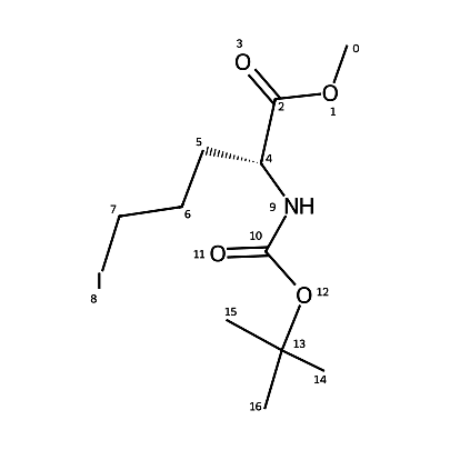 COC(=O)[C@@H](CCCI)NC(=O)OC(C)(C)C